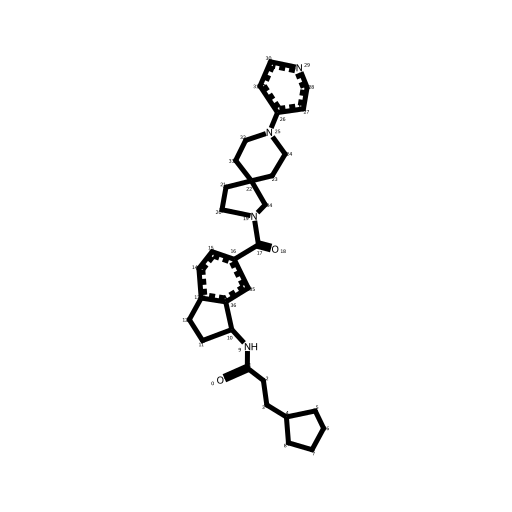 O=C(CCC1CCCC1)NC1CCc2ccc(C(=O)N3CCC4(CCN(c5ccncc5)CC4)C3)cc21